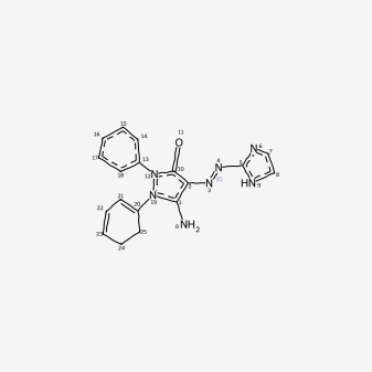 Nc1c(/N=N/c2ncc[nH]2)c(=O)n(-c2ccccc2)n1C1=CC=CCC1